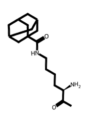 CC(=O)[C@H](N)CCCCNC(=O)C12CC3CC(CC(C3)C1)C2